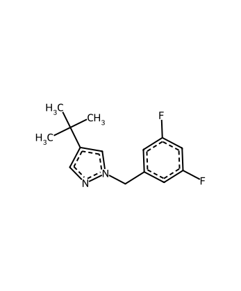 CC(C)(C)c1cnn(Cc2cc(F)cc(F)c2)c1